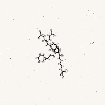 COC(=O)CCCCCNc1nc2ccc(CN(CCC(C)C)CCC(C)C)cc2n1CCCN1CCCCC1